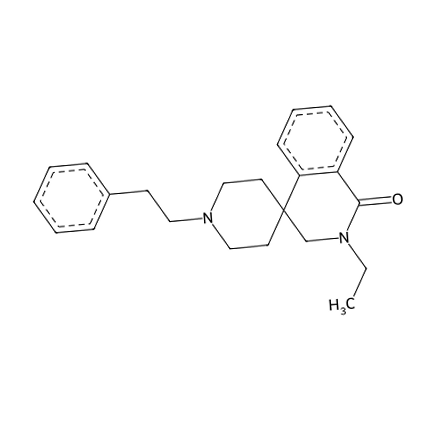 CCN1CC2(CCN(CCc3ccccc3)CC2)c2ccccc2C1=O